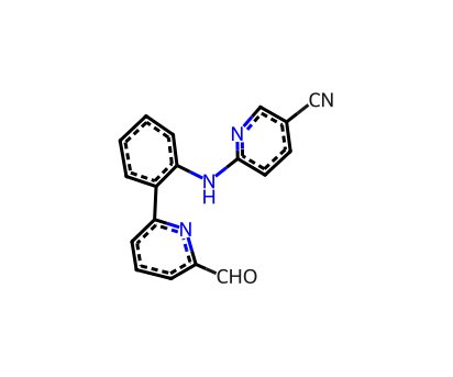 N#Cc1ccc(Nc2ccccc2-c2cccc(C=O)n2)nc1